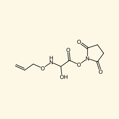 C=CCONC(O)C(=O)ON1C(=O)CCC1=O